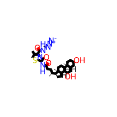 CC1=C(C(=O)NCN=[N+]=[N-])N2C(=O)C(NC(=O)CC[C@@H](C)[C@H]3CC[C@H]4[C@@H]5C(O)C[C@@H]6C[C@H](O)CC[C@]6(C)C5CC[C@]34C)C2SC1